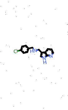 Clc1ccc(CNCc2c[nH]c3ncccc23)cc1